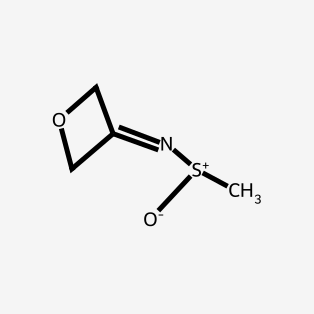 C[S+]([O-])N=C1COC1